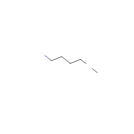 [CH3][Sn+2][CH2]CCCN.[Cl-].[Cl-]